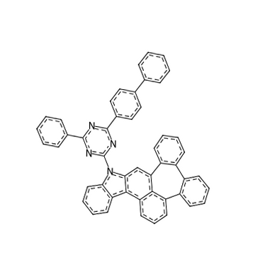 c1ccc(-c2ccc(-c3nc(-c4ccccc4)nc(-n4c5ccccc5c5c6cccc7c6c(cc54)-c4ccccc4-c4ccccc4-7)n3)cc2)cc1